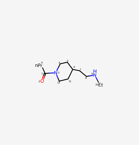 CCCC(=O)N1CCC(CCNCC)CC1